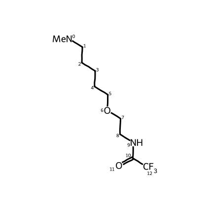 CNCCCCCOCCNC(=O)C(F)(F)F